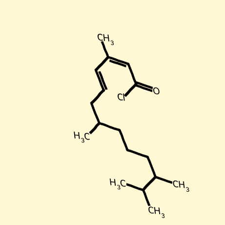 CC(C=CCC(C)CCCC(C)C(C)C)=CC(=O)Cl